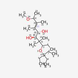 CCC(O[Si](CC)(CC)CC)C(C)(C)[C@@H](O)[C@@H](O)/C(C)=C(\C)C(C)OC